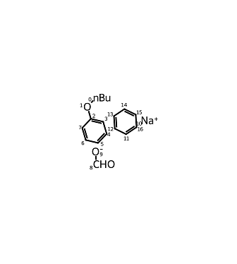 CCCCOc1ccccc1.O=C[O-].[Na+].c1ccccc1